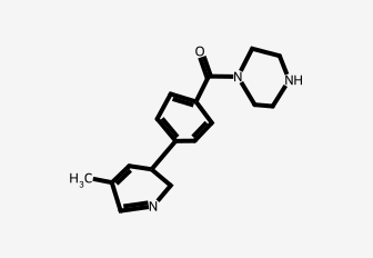 CC1=CC(c2ccc(C(=O)N3CCNCC3)cc2)CN=C1